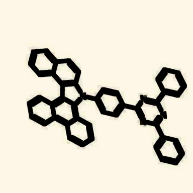 c1ccc(-c2nc(-c3ccccc3)nc(-c3ccc(-n4c5ccc6ccccc6c5c5c6ccccc6c6ccccc6c54)cc3)n2)cc1